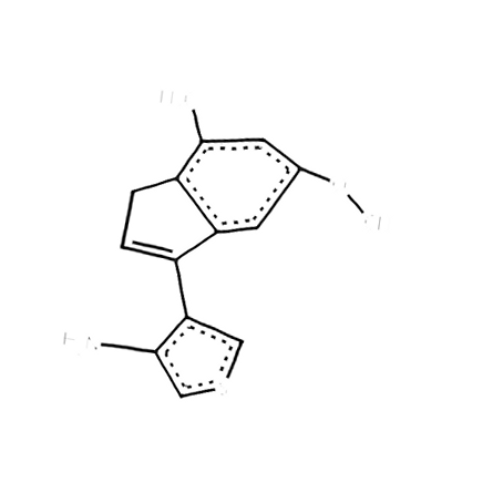 COc1cc(C)c2c(c1)C(c1cscc1N)=CC2